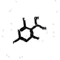 OB(O)c1c(F)cc(F)nc1F